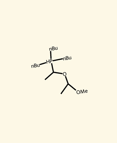 CCCC[PH](CCCC)(CCCC)C(C)OC(C)OC